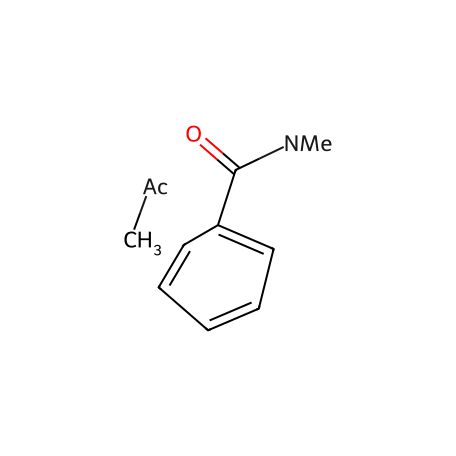 CC(C)=O.CNC(=O)c1ccccc1